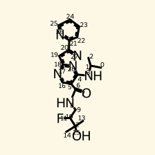 CC(C)Nc1c(C(=O)NCC(F)C(C)(C)O)cnc2cc(-c3ccccn3)nn12